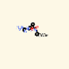 COc1cccc(CNC(=O)C2OC3(CCN(c4cc(N)ccn4)CC3)c3ccccc32)c1